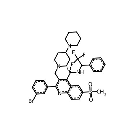 CS(=O)(=O)c1ccc2nc(-c3cccc(Br)c3)c(CN3CCC(N4CCCCC4)CC3)c(C(=O)NC(c3ccccc3)C(F)(F)F)c2c1